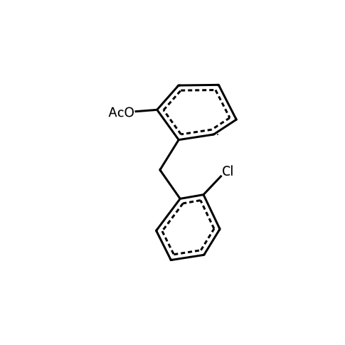 CC(=O)Oc1ccc[c]c1Cc1ccccc1Cl